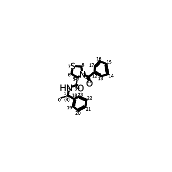 C[C@@H](NC(=O)[C@H]1CSCN1C(=O)c1ccccc1)c1ccccc1